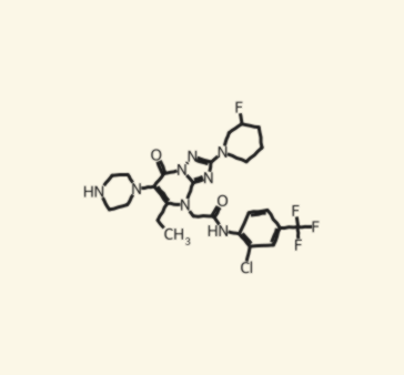 CCc1c(N2CCNCC2)c(=O)n2nc(N3CCCC(F)C3)nc2n1CC(=O)Nc1ccc(C(F)(F)F)cc1Cl